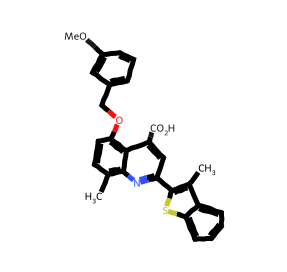 COc1cccc(COc2ccc(C)c3nc(-c4sc5ccccc5c4C)cc(C(=O)O)c23)c1